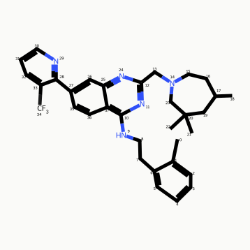 Cc1ccccc1CCNc1nc(CN2CCC(C)CC(C)(C)C2)nc2cc(-c3ncccc3C(F)(F)F)ccc12